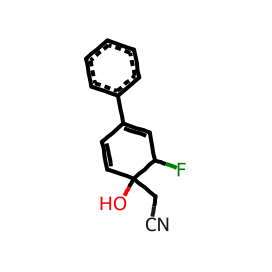 N#CCC1(O)C=CC(c2ccccc2)=CC1F